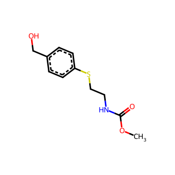 COC(=O)NCCSc1ccc(CO)cc1